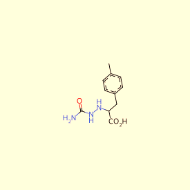 Cc1ccc(CC(NNC(N)=O)C(=O)O)cc1